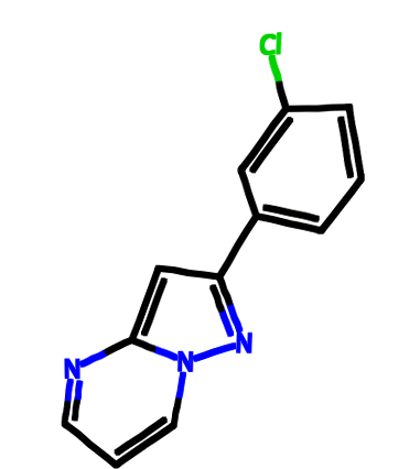 Clc1cccc(-c2cc3ncccn3n2)c1